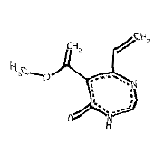 C=Cc1nc[nH]c(=O)c1C(=C)OC